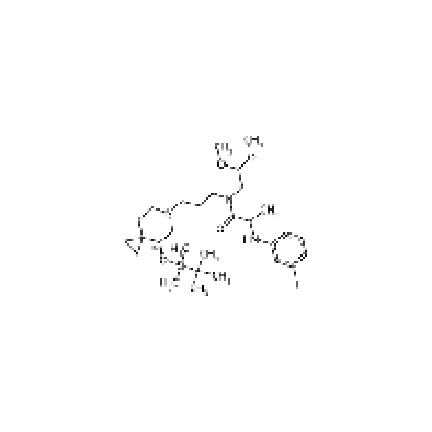 COC(CN(CCCN1CCC2(CC2)[C@H](O[Si](C)(C)C(C)(C)C)C1)C(=O)C(C)Nc1cccc(I)c1)OC